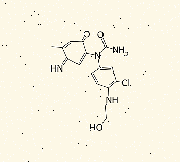 CC1=CC(=O)C(N(C(N)=O)c2ccc(NCCO)c(Cl)c2)=CC1=N